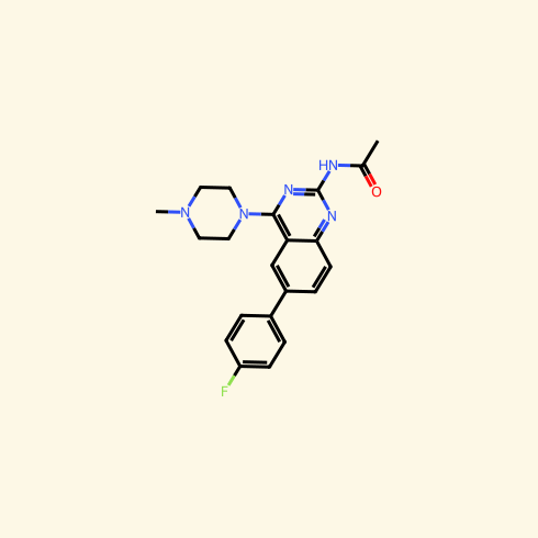 CC(=O)Nc1nc(N2CCN(C)CC2)c2cc(-c3ccc(F)cc3)ccc2n1